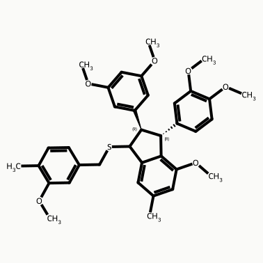 COc1cc(OC)cc([C@@H]2C(SCc3ccc(C)c(OC)c3)c3cc(C)cc(OC)c3[C@H]2c2ccc(OC)c(OC)c2)c1